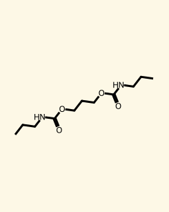 CCCNC(=O)OCCCOC(=O)NCCC